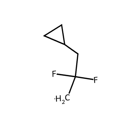 [CH2]C(F)(F)CC1CC1